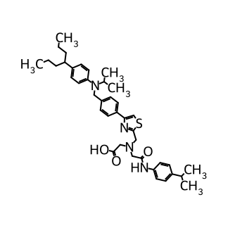 CCCC(CCC)c1ccc(N(Cc2ccc(-c3csc(CN(CC(=O)O)CC(=O)Nc4ccc(C(C)C)cc4)n3)cc2)C(C)C)cc1